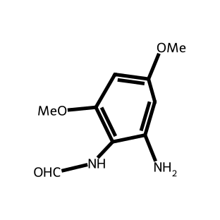 COc1cc(N)c(NC=O)c(OC)c1